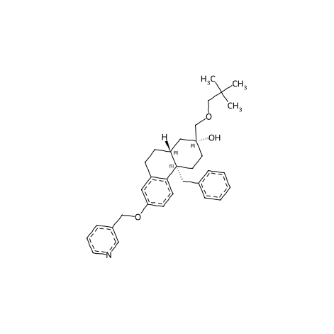 CC(C)(C)COC[C@@]1(O)CC[C@@]2(Cc3ccccc3)c3ccc(OCc4cccnc4)cc3CC[C@@H]2C1